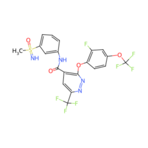 CS(=N)(=O)c1cccc(NC(=O)c2cc(C(F)(F)F)nnc2Oc2ccc(OC(F)(F)F)cc2F)c1